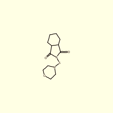 O=C1C2CCCCC2C(=O)N1SN1CCOCC1